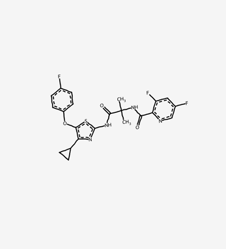 CC(C)(NC(=O)c1ncc(F)cc1F)C(=O)Nc1nc(C2CC2)c(Oc2ccc(F)cc2)s1